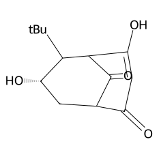 CC(C)(C)C1C2C(=O)C(C[C@@H]1O)C(=O)C=C2O